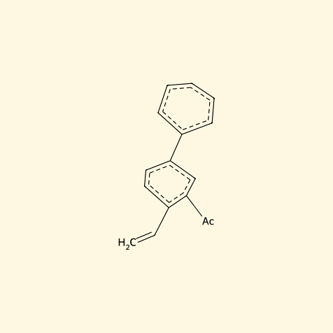 C=Cc1ccc(-c2ccccc2)cc1C(C)=O